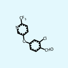 O=Cc1ccc(Oc2ccc(C(F)(F)F)nc2)cc1Cl